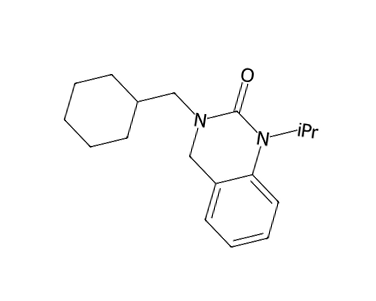 CC(C)N1C(=O)N(CC2CCCCC2)Cc2ccccc21